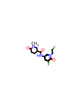 CN1CC(C(=O)Nc2cc(F)c(=O)n(CCF)c2)CCC1=O